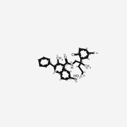 Cc1c(-c2ccccc2)nc2ccc(Br)cc2c1C(=O)NCC(C)(CCC(=O)O)c1cc(F)ccc1Cl